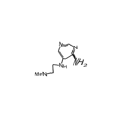 CNCCNc1cncnc1N